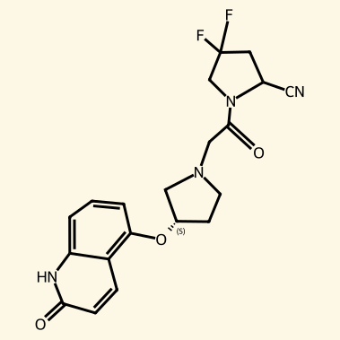 N#CC1CC(F)(F)CN1C(=O)CN1CC[C@H](Oc2cccc3[nH]c(=O)ccc23)C1